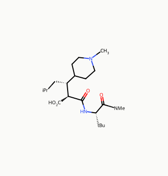 CNC(=O)[C@@H](NC(=O)[C@@H](C(=O)O)[C@H](CC(C)C)C1CCN(C)CC1)C(C)(C)C